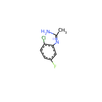 C/C(N)=N/c1cc(F)ccc1Cl